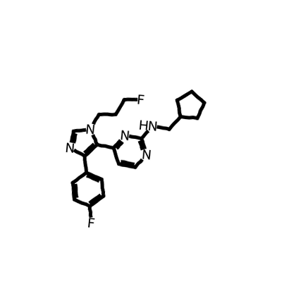 FCCCn1cnc(-c2ccc(F)cc2)c1-c1ccnc(NCC2CCCC2)n1